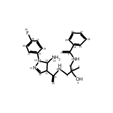 C=C(NCC(C)(O)CNC(=C)C1C=NN(c2ccc(F)cc2)C1N)c1ccccc1